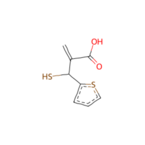 C=C(C(=O)O)C(S)c1cccs1